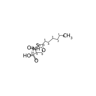 CCCCCCC1OCC(C(=O)O)[NH+]([O-])S1